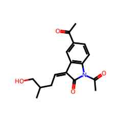 CC(=O)c1ccc2c(c1)C(=CCC(C)CO)C(=O)N2C(C)=O